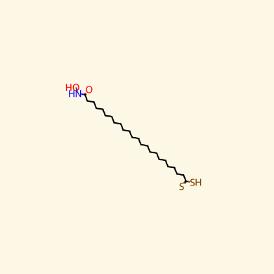 O=C(CCCCCCCCCCCCCCCCCCCCCCC(=S)S)NO